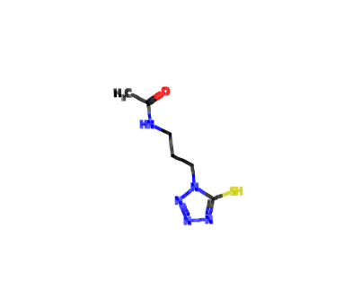 CC(=O)NCCCn1nnnc1S